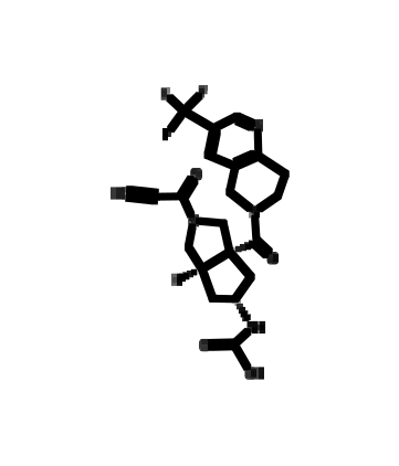 C#CC(=O)N1C[C@@H]2C[C@@H](NC(=O)O)C[C@]2(C(=O)N2CCc3ncc(C(F)(F)F)cc3C2)C1